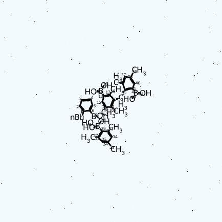 CCCCc1ccccc1B(O)O.Cc1cc(B(O)O)c(C)c(C)c1C.Cc1cc(C)c(B(O)O)c(C)c1.Cc1cc(C)cc(B(O)O)c1